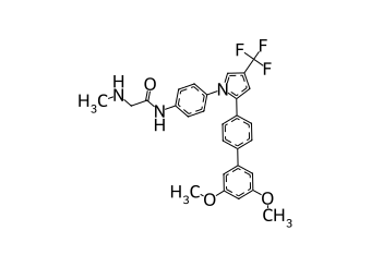 CNCC(=O)Nc1ccc(-n2cc(C(F)(F)F)cc2-c2ccc(-c3cc(OC)cc(OC)c3)cc2)cc1